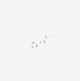 Cc1ccc(-c2nc(C(=O)N3CCCCC3C)cs2)cc1